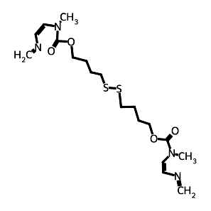 C=N/C=C\N(C)C(=O)OCCCCSSCCCCOC(=O)N(C)/C=C\N=C